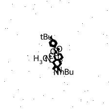 CCCCn1ncc2c1C=C1CCN(S(=O)(=O)c3ccc(C(C)(C)C)cc3)CC1[C@@H]2CN(C)C